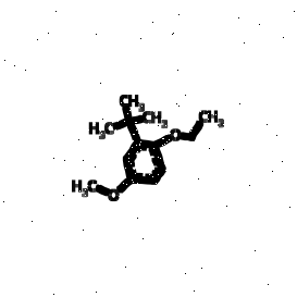 CCOc1ccc(OC)cc1C(C)(C)C